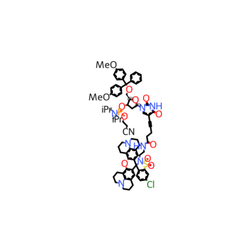 COc1ccc(C(OC[C@H]2O[C@@H](n3cc(C#CCCC(=O)NCCN4C5(c6ccc(Cl)cc6S4(=O)=O)c4cc6c7c(c4Oc4c5cc5c8c4CCCN8CCC5)CCCN7CCC6)c(=O)[nH]c3=O)CC2OP(OCCC#N)N(C(C)C)C(C)C)(c2ccccc2)c2ccc(OC)cc2)cc1